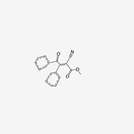 COC(=O)/C(C#N)=C(/C(=O)c1ccccc1)c1ccccc1